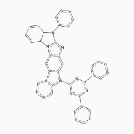 C1=CC2C(C=C1)n1c(nc3cc4c(cc31)c1ccccc1n4-c1nc(-c3ccccc3)nc(-c3ccccc3)n1)N2c1ccccc1